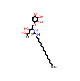 CCCCCCCCCCCCCCCCCCCCCCCCNC(=S)NC(COC1C=CC(O)C(O)C1O)C(O)CC(O)CC